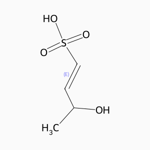 CC(O)/C=C/S(=O)(=O)O